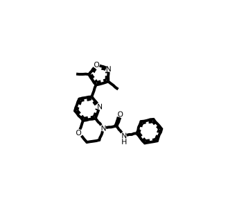 Cc1noc(C)c1-c1ccc2c(n1)N(C(=O)Nc1ccccc1)CCO2